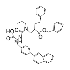 CC(C)CN(CC(CCc1ccccc1)C(=O)OCc1ccccc1)C(=O)N[C@@H](Cc1ccc(-c2ccc3ccccc3c2)cc1)C(=O)O